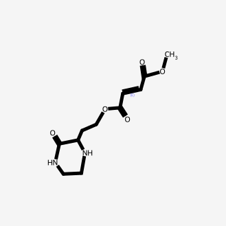 COC(=O)/C=C/C(=O)OCCC1NCCNC1=O